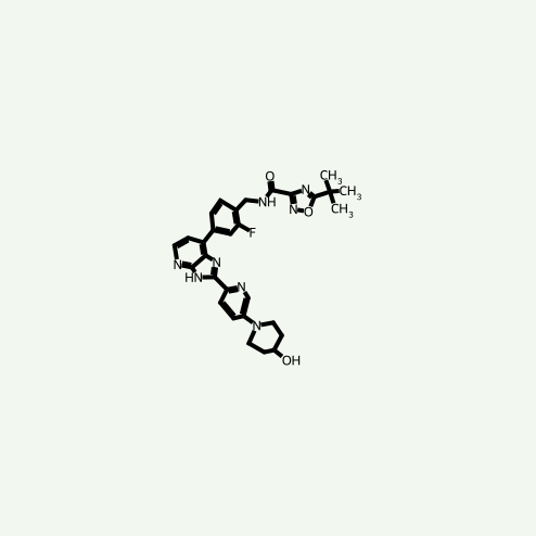 CC(C)(C)c1nc(C(=O)NCc2ccc(-c3ccnc4[nH]c(-c5ccc(N6CCC(O)CC6)cn5)nc34)cc2F)no1